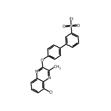 CCS(=O)(=O)c1cccc(-c2ccc(Oc3nc4cccc(Cl)c4nc3C)cc2)c1